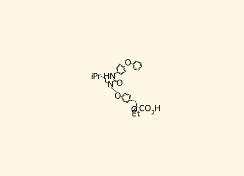 CCOC(Cc1ccc(OCCN(CCC(C)C)C(=O)Nc2ccc(Oc3ccccc3)cc2)cc1)C(=O)O